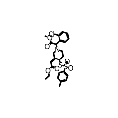 CCOC(=O)/C=C1/CN(C(C(=O)OC)c2ccccc2Cl)CCC1SS(=O)(=O)c1ccc(C)cc1